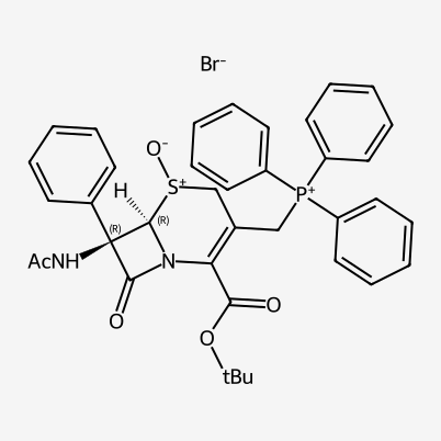 CC(=O)N[C@]1(c2ccccc2)C(=O)N2C(C(=O)OC(C)(C)C)=C(C[P+](c3ccccc3)(c3ccccc3)c3ccccc3)C[S+]([O-])[C@@H]21.[Br-]